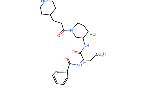 Cl.O=C(O)C[C@H](NC(=O)c1ccccc1)C(=O)NC1CCCN(C(=O)CCC2CCNCC2)C1